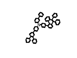 c1ccc(-c2cccc(N(c3ccc(-c4ccc(-c5ccccc5)c(-c5ccccc5)c4)cc3)c3ccc(-c4cccc5c(-c6ccccc6)c(-c6ccccc6)c6ccccc6c45)cc3)c2)cc1